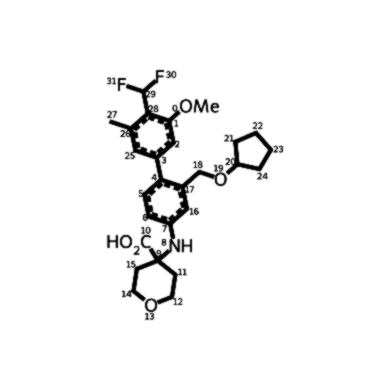 COc1cc(-c2ccc(NC3(C(=O)O)CCOCC3)cc2COC2CCCC2)cc(C)c1C(F)F